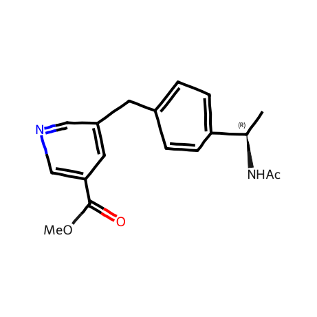 COC(=O)c1cncc(Cc2ccc([C@@H](C)NC(C)=O)cc2)c1